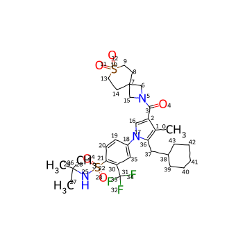 Cc1c(C(=O)N2CC3(CCS(=O)(=O)CC3)C2)cn(-c2ccc(S(=O)(=O)NC(C)(C)C)c(C(F)(F)F)c2)c1CC1CCCCC1